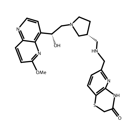 COc1ccc2nccc([C@@H](O)CN3CC[C@H](CNCc4ccc5c(n4)NC(=O)CS5)C3)c2n1